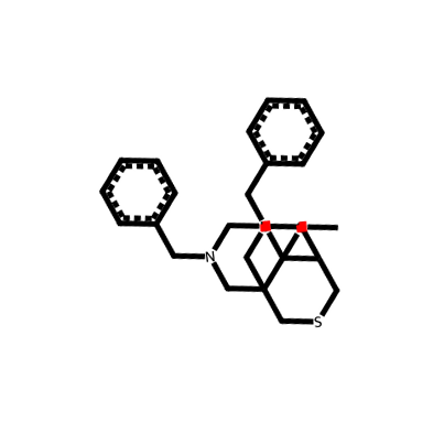 COC12OCN(Cc3ccccc3)CC13CSCC2CN(Cc1ccccc1)C3